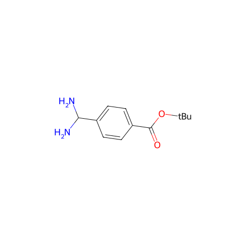 CC(C)(C)OC(=O)c1ccc(C(N)N)cc1